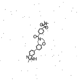 Cc1nc2ccc(-c3ccc4c(c3)CN(C(=O)c3ccc(S(=O)(=O)N(C)C)cc3)CCO4)cc2[nH]1